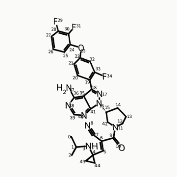 CC(C)NC1(C=C(C#N)C(=O)N2CCC[C@@H](n3nc(-c4ccc(Oc5cccc(F)c5F)cc4F)c4c(N)ncnc43)C2)CC1